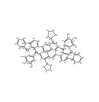 Cc1cc(N(c2cc(C3CCCC3)c3ccc4c(N(c5cc(C)c(C)c(C)c5)c5cccc6c5oc5ccccc56)cc(C5CCCC5)c5ccc2c3c54)c2cccc3c2oc2ccccc23)cc(C)c1C